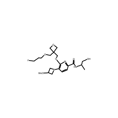 COC1CN(c2ccc(C(=O)NC(C)CO)nc2OCC2(COCCCF)COC2)C1